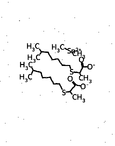 CC(C)CCCCCSC(C)C(=O)[O-].CC(C)CCCCCSC(C)C(=O)[O-].[CH3][Sn+2][CH3]